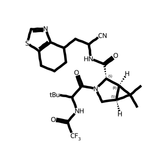 CC(C)(C)C(NC(=O)C(F)(F)F)C(=O)N1C[C@H]2[C@@H]([C@H]1C(=O)NC(C#N)CC1CCCc3scnc31)C2(C)C